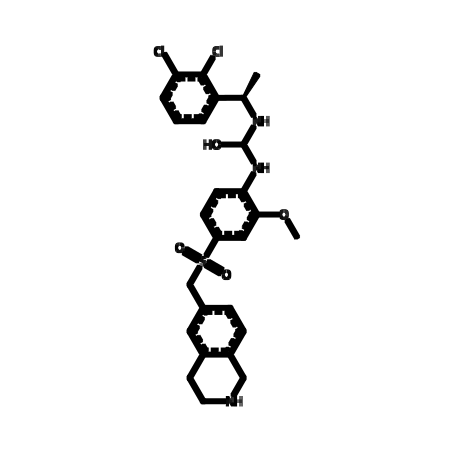 COc1cc(S(=O)(=O)Cc2ccc3c(c2)CCNC3)ccc1NC(O)N[C@H](C)c1cccc(Cl)c1Cl